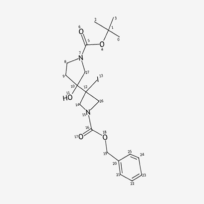 CC(C)(C)OC(=O)N1CCC(O)(C2(I)CN(C(=O)OCc3ccccc3)C2)C1